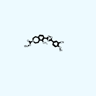 Cc1c(-c2noc(-c3ccc(OC(C)C)c(C#N)c3)n2)ccc2c1CCN(C(=O)OC(C)(C)C)CC2